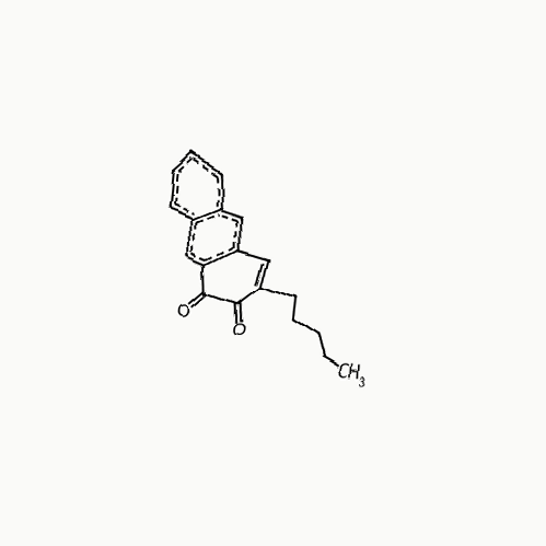 CCCCCC1=Cc2cc3ccccc3cc2C(=O)C1=O